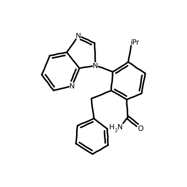 CC(C)c1ccc(C(N)=O)c(Cc2ccccc2)c1-n1cnc2cccnc21